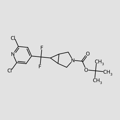 CC(C)(C)OC(=O)N1CC2C(C1)C2C(F)(F)c1cc(Cl)nc(Cl)c1